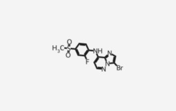 CS(=O)(=O)c1ccc(Nc2ccnn3c(Br)cnc23)c(F)c1